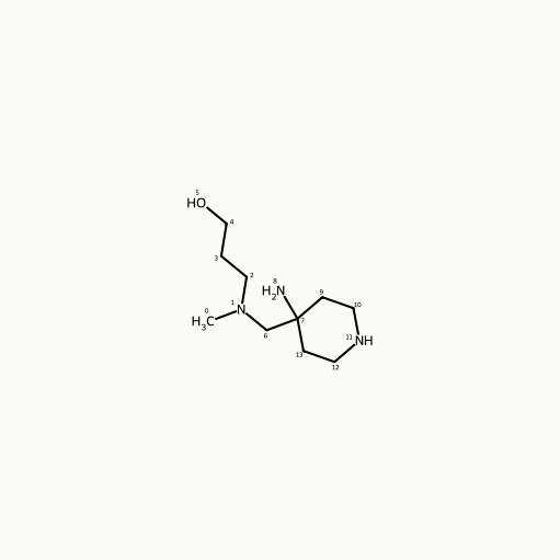 CN(CCCO)CC1(N)CCNCC1